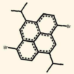 CC(C)c1cc2c(Br)ccc3c(C(C)C)cc4c(Br)ccc1c4c23